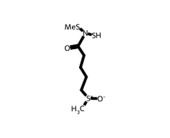 CSN(S)C(=O)CCCC[S+](C)[O-]